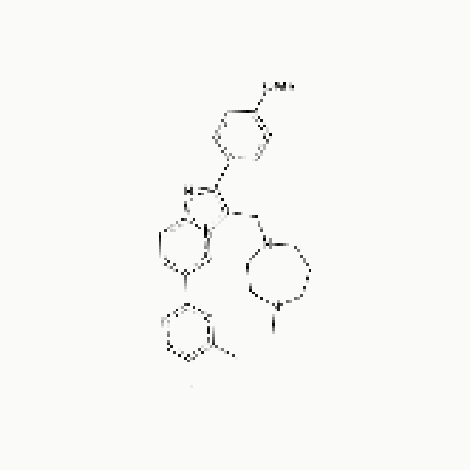 COc1ccc(-c2nc3ccc(-c4ccc(C)c(C)c4)cn3c2CN2CCCN(C)CC2)cc1